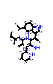 C=C/C(=C\C(C)=C/C)NC(C(=C)c1c[nH]c2ccc(CC)cc12)C(=N)/C=C1/C=CC=CN1